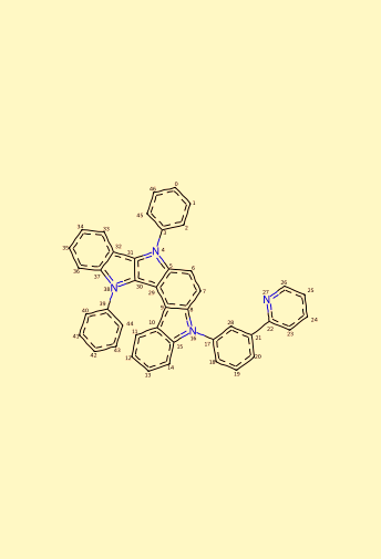 c1ccc(-n2c3ccc4c(c5ccccc5n4-c4cccc(-c5ccccn5)c4)c3c3c2c2ccccc2n3-c2ccccc2)cc1